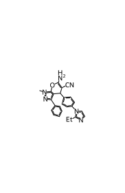 CCc1nccn1-c1ccc(C2C(C#N)=C(N)Oc3c2c(-c2ccccc2)nn3C)cc1